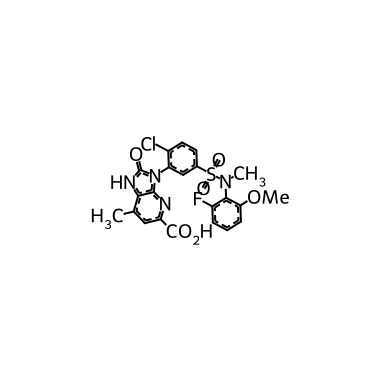 COc1cccc(F)c1N(C)S(=O)(=O)c1ccc(Cl)c(-n2c(=O)[nH]c3c(C)cc(C(=O)O)nc32)c1